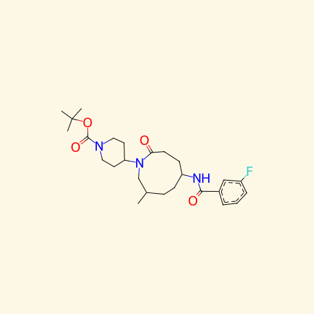 CC1CCC(NC(=O)c2cccc(F)c2)CCC(=O)N(C2CCN(C(=O)OC(C)(C)C)CC2)C1